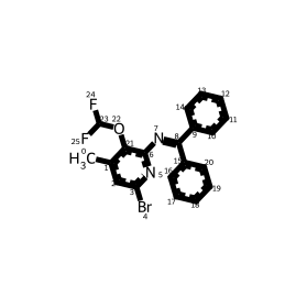 Cc1cc(Br)nc(N=C(c2ccccc2)c2ccccc2)c1OC(F)F